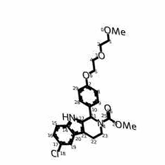 COCCOCCOc1ccc(C2c3[nH]c4ccc(Cl)cc4c3CCN2C(=O)OC)cc1